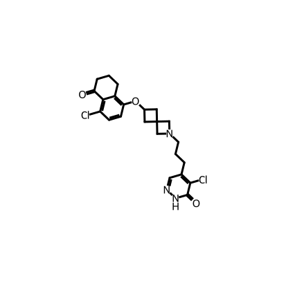 O=C1CCCc2c(OC3CC4(C3)CN(CCCc3cn[nH]c(=O)c3Cl)C4)ccc(Cl)c21